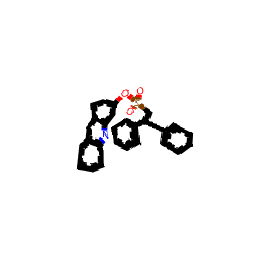 O=S(=O)(CC(c1ccccc1)c1ccccc1)Oc1ccc2cc3ccccc3nc2c1